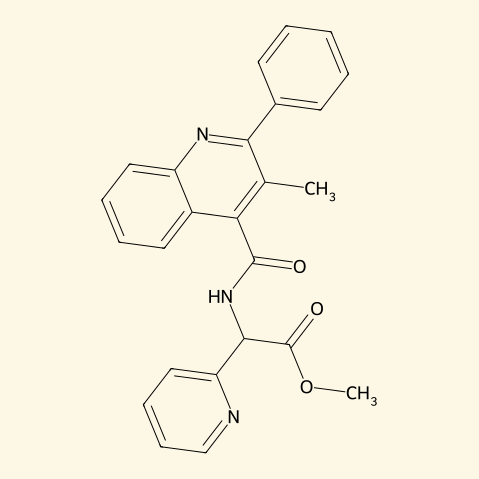 COC(=O)C(NC(=O)c1c(C)c(-c2ccccc2)nc2ccccc12)c1ccccn1